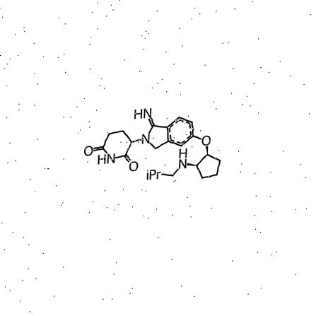 CC(C)CN[C@@H]1CCC[C@@H]1Oc1ccc2c(c1)CN(C1CCC(=O)NC1=O)C2=N